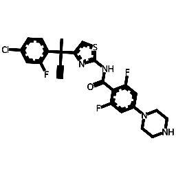 C#CC(C)(c1csc(NC(=O)c2c(F)cc(N3CCNCC3)cc2F)n1)c1ccc(Cl)cc1F